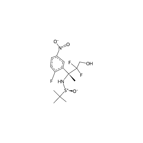 CC(C)(C)[S@+]([O-])N[C@](C)(c1cc([N+](=O)[O-])ccc1F)C(F)(F)CO